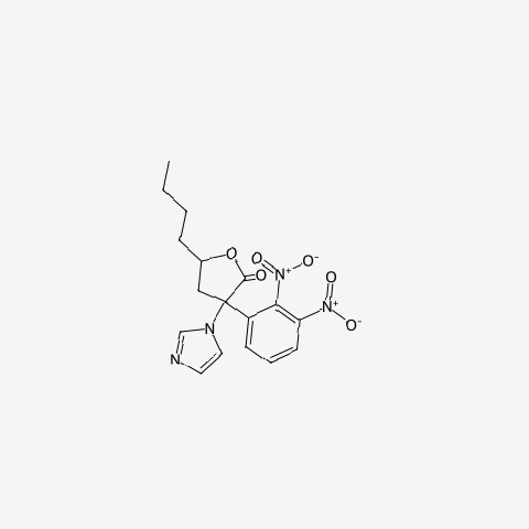 CCCCC1CC(c2cccc([N+](=O)[O-])c2[N+](=O)[O-])(n2ccnc2)C(=O)O1